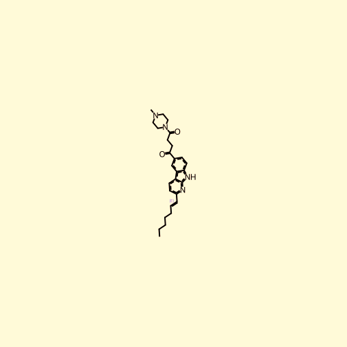 CCCCC/C=C/c1ccc2c(n1)[nH]c1ccc(C(=O)CCC(=O)N3CCN(C)CC3)cc12